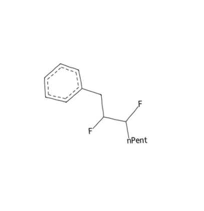 CCCCCC(F)C(F)Cc1ccccc1